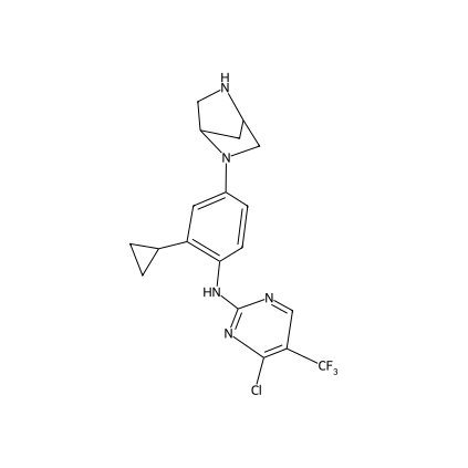 FC(F)(F)c1cnc(Nc2ccc(N3CC4CC3CN4)cc2C2CC2)nc1Cl